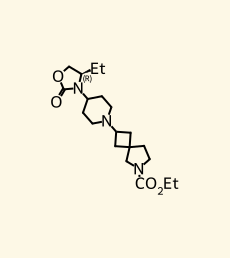 CCOC(=O)N1CCC2(CC(N3CCC(N4C(=O)OC[C@H]4CC)CC3)C2)C1